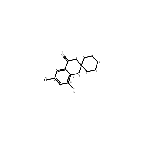 O=C1CC2(CCCCC2)Oc2c(Cl)cc(Cl)cc21